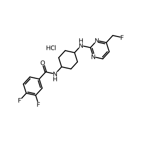 Cl.O=C(NC1CCC(Nc2nccc(CF)n2)CC1)c1ccc(F)c(F)c1